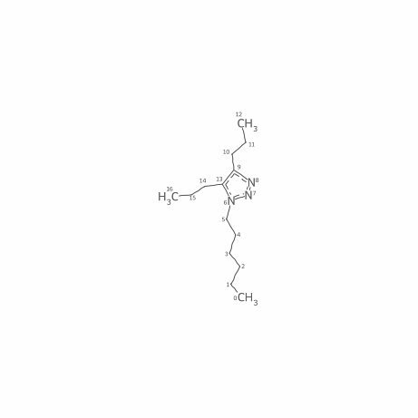 CCCCCCn1nnc(CCC)c1CCC